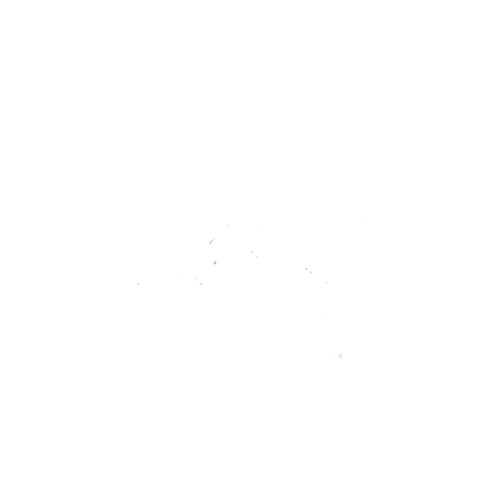 CC(=O)O[C@H](C[C@H](C(C)C)N(C)C(=O)OC(C)(C)C)c1nc(C(=O)N[C@H](Cc2ccccc2)C[C@H](C)C(=O)O)c(CCOCc2ccccc2)s1